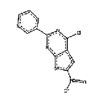 O=[N+]([O-])c1cc2c(Cl)nc(-c3cccnc3)nc2s1